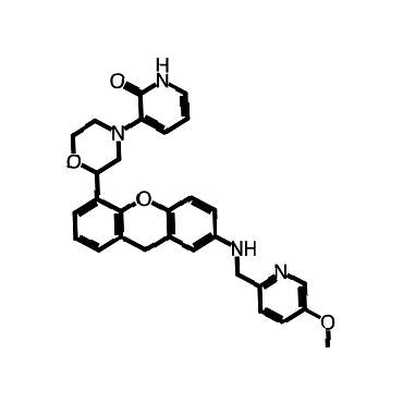 COc1ccc(CNc2ccc3c(c2)Cc2cccc(C4CN(c5ccc[nH]c5=O)CCO4)c2O3)nc1